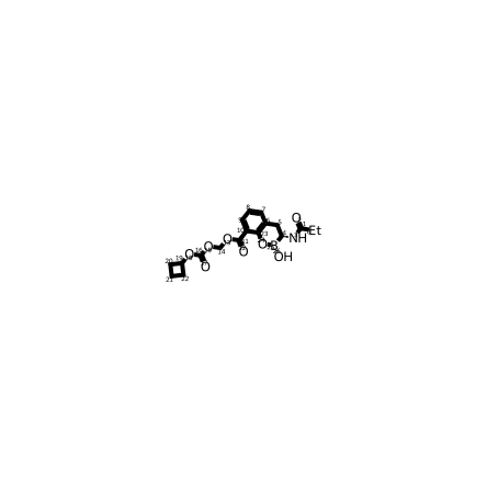 CCC(=O)N[C@H]1Cc2cccc(C(=O)OCOC(=O)OC3CCC3)c2OB1O